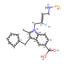 Cc1c(Cc2ccccc2)c2cc(C(=O)O)ccc2n1C/C(F)=C/CNP